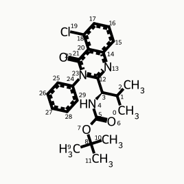 CC(C)[C@@H](NC(=O)OC(C)(C)C)c1nc2cccc(Cl)c2c(=O)n1-c1ccccc1